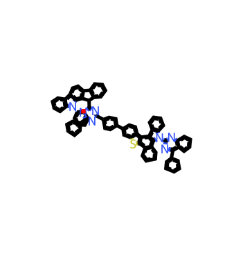 c1ccc(-c2nc(-c3ccc(-c4ccc5c(c4)sc4c6ccccc6c6c(c7ccccc7n6-c6nc(-c7ccccc7)c7ccccc7n6)c54)cc3)nc(C3c4ccccc4-c4ccc5c6ccccc6n(-c6ccccc6)c5c43)n2)cc1